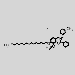 CCCCCCCCCCCCCCCCOc1ccc(CN(Cc2ccc[n+](C)c2)C(=O)c2ccccc2)cc1OC.[I-]